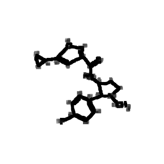 CN1CCC(NC(=O)c2cc(C3CC3)on2)C1c1ccc(F)cc1